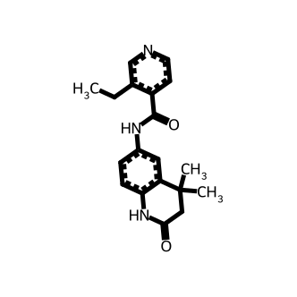 CCc1cnccc1C(=O)Nc1ccc2c(c1)C(C)(C)CC(=O)N2